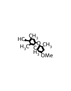 C#Cc1c(C)cc(Oc2c(C)cc(OC)cc2C)cc1C